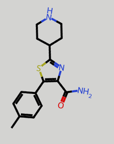 Cc1ccc(-c2sc(C3CCNCC3)nc2C(N)=O)cc1